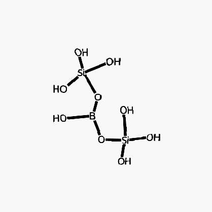 OB(O[Si](O)(O)O)O[Si](O)(O)O